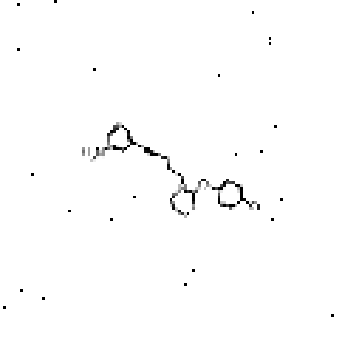 Nc1cccc(C#CCCCN2CCCCC2Oc2ccc(Cl)cc2)c1